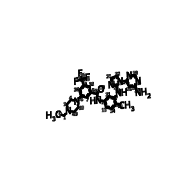 CCN1CCN(c2cc(C(=O)Nc3ccc(C)c(Nc4nccn4-c4cc(N)ncn4)c3)cc(C(F)(F)F)c2)CC1